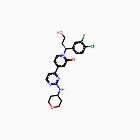 O=c1cc(-c2ccnc(NC3CCOCC3)n2)ccn1[C@@H](CCO)c1ccc(Cl)c(F)c1